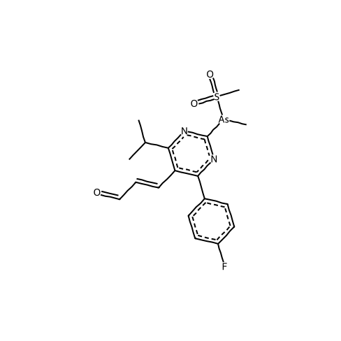 CC(C)c1nc([As](C)S(C)(=O)=O)nc(-c2ccc(F)cc2)c1/C=C/C=O